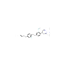 C/C=C/CCc1ccc(CCc2ccc(C3CC(C)(C)NC(C)(C)C3)c(F)c2)c(F)c1